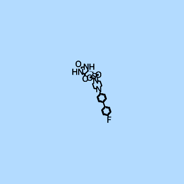 O=C1NC(=O)[C@@H](CS(=O)(=O)N2CCN(c3ccc(-c4ccc(F)cc4)cc3)CC2)N1